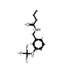 CCCC(=O)NCc1cccc(OC(F)(F)F)c1